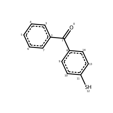 O=C(c1ccccc1)c1ccc(S)cc1